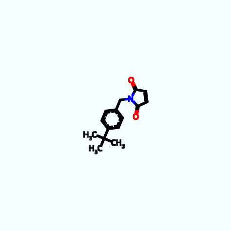 CC(C)(C)c1ccc(CN2C(=O)C=CC2=O)cc1